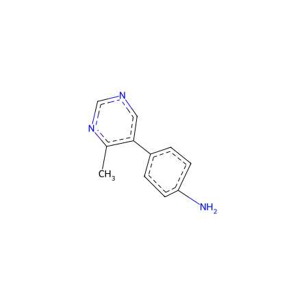 Cc1ncncc1-c1ccc(N)cc1